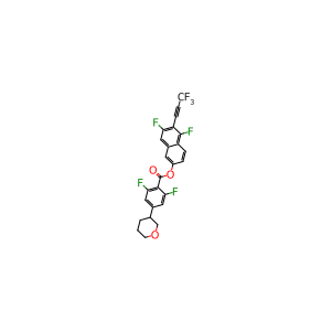 O=C(Oc1ccc2c(F)c(C#CC(F)(F)F)c(F)cc2c1)c1c(F)cc(C2CCCOC2)cc1F